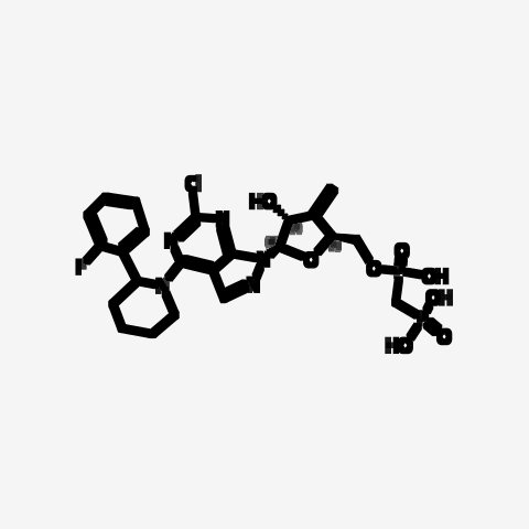 C=C1[C@@H](O)[C@H](n2ncc3c(N4CCCCC4c4ccccc4F)nc(Cl)nc32)O[C@@H]1COP(=O)(O)CP(=O)(O)O